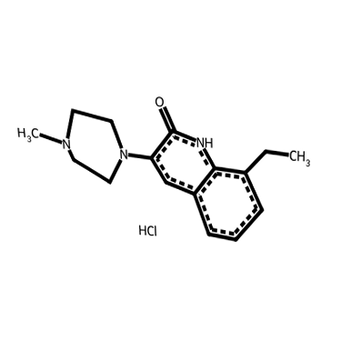 CCc1cccc2cc(N3CCN(C)CC3)c(=O)[nH]c12.Cl